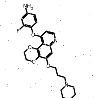 Nc1ccc(Oc2ccnc3cc(OCCCN4CCCCC4)c4c(c23)OCCO4)c(F)c1